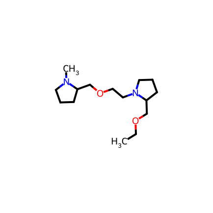 CCOCC1CCCN1CCOCC1CCCN1C